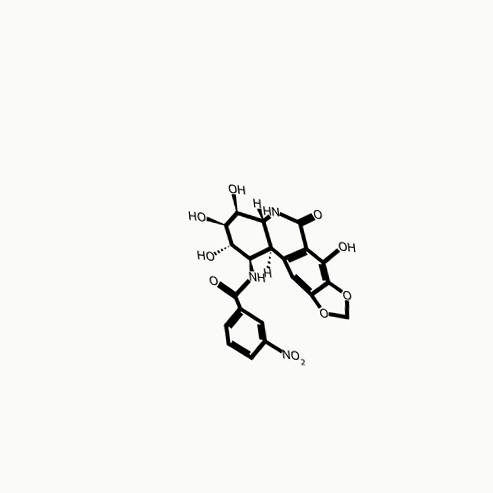 O=C(N[C@H]1[C@H](O)[C@@H](O)[C@@H](O)[C@@H]2NC(=O)c3c(cc4c(c3O)OCO4)[C@@H]12)c1cccc([N+](=O)[O-])c1